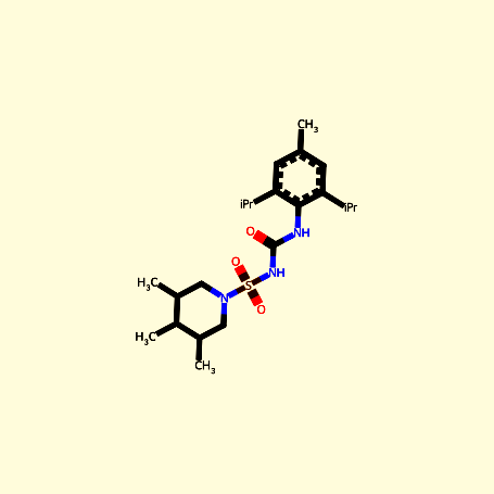 Cc1cc(C(C)C)c(NC(=O)NS(=O)(=O)N2CC(C)C(C)C(C)C2)c(C(C)C)c1